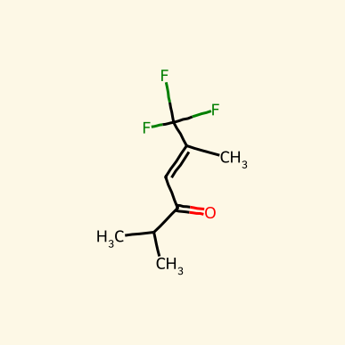 C/C(=C\C(=O)C(C)C)C(F)(F)F